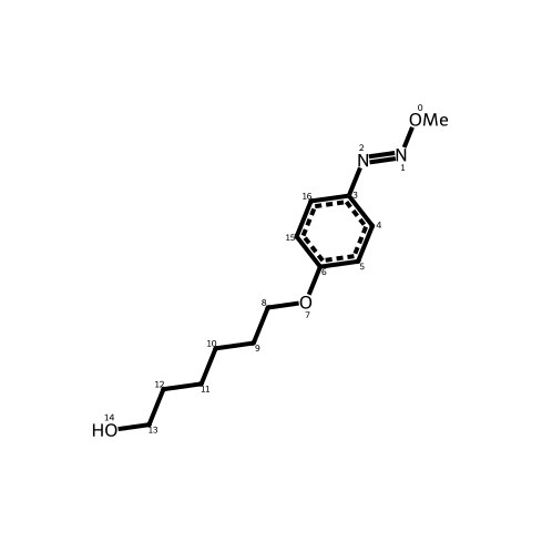 CON=Nc1ccc(OCCCCCCO)cc1